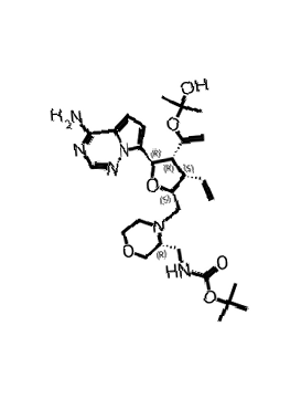 C=C[C@H]1[C@@H](C(=C)OC(C)(C)O)[C@H](c2ccc3c(N)ncnn23)O[C@@H]1CN1CCOC[C@H]1CNC(=O)OC(C)(C)C